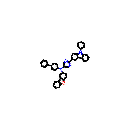 c1ccc(-c2ccc(N(c3cnc(-c4ccc5c(c4)c4ccccc4n5-c4ccccc4)nc3)c3ccc4oc5ccccc5c4c3)cc2)cc1